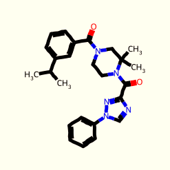 CC(C)c1cccc(C(=O)N2CCN(C(=O)c3ncn(-c4ccccc4)n3)C(C)(C)C2)c1